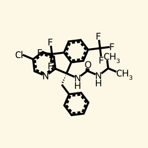 CC(C)NC(=O)N[C@@](Cc1ccccc1)(c1ccc(Cl)cn1)c1cc(C(F)(F)F)ccc1C(F)(F)F